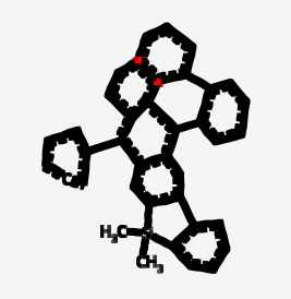 C[Si]1(C)c2ccccc2-c2cc3c(-c4ccccc4-c4ccccc4)c4ccccc4c(-c4ccccc4)c3cc21